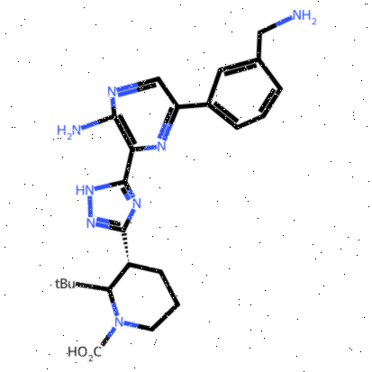 CC(C)(C)C1[C@H](c2n[nH]c(-c3nc(-c4cccc(CN)c4)cnc3N)n2)CCCN1C(=O)O